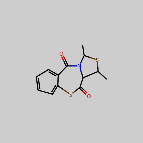 CC1SC(C)N2C(=O)c3ccccc3SC(=O)C12